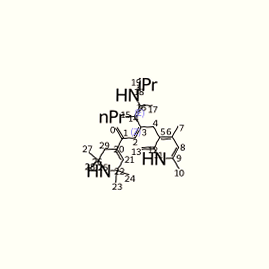 C=C(/C=C(CC1=C(C)C=C(C)NC1=C)\C(CCC)=C(/C)NC(C)C)C1=CC(C)(C)NC(C)(C)C1